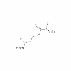 CCCCCC(F)CCOC(=O)C(CC)CCCC